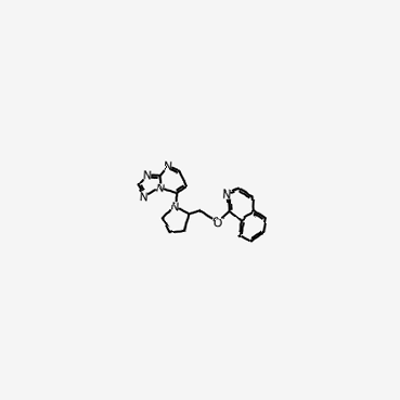 c1ccc2c(OCC3CCCN3c3ccnc4ncnn34)nccc2c1